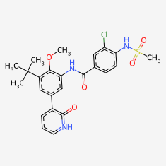 COc1c(NC(=O)c2ccc(NS(C)(=O)=O)c(Cl)c2)cc(-c2ccc[nH]c2=O)cc1C(C)(C)C